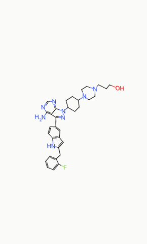 Nc1ncnc2c1c(-c1ccc3[nH]c(Cc4ccccc4F)cc3c1)nn2C1CCC(N2CCN(CCCO)CC2)CC1